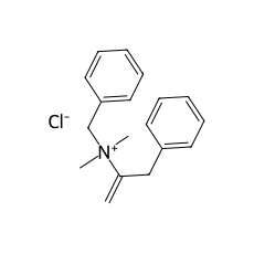 C=C(Cc1ccccc1)[N+](C)(C)Cc1ccccc1.[Cl-]